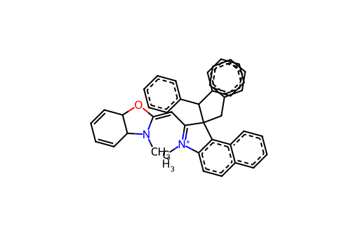 CN1C(=CC2=[N+](C)c3ccc4ccccc4c3C2(Cc2ccccc2)C(c2ccccc2)c2ccccc2)OC2C=CC=CC21